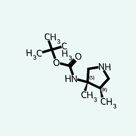 C[C@@H]1CNC[C@@]1(C)NC(=O)OC(C)(C)C